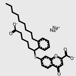 CCCCCCCCCc1ccccc1C(CCCCC(=O)[O-])Sc1ccc2c(=O)cc(C(=O)[O-])oc2c1.[Na+].[Na+]